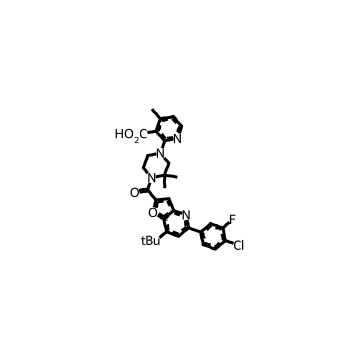 Cc1ccnc(N2CCN(C(=O)c3cc4nc(-c5ccc(Cl)c(F)c5)cc(C(C)(C)C)c4o3)C(C)(C)C2)c1C(=O)O